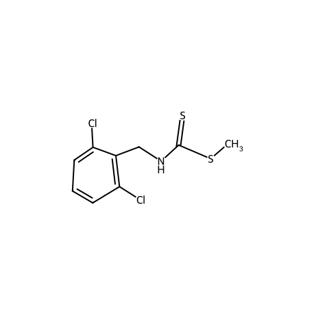 CSC(=S)NCc1c(Cl)cccc1Cl